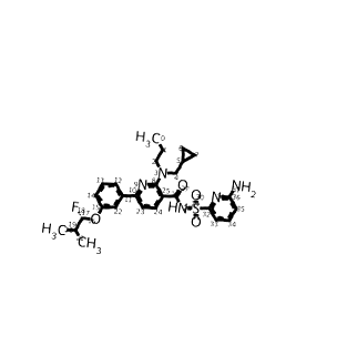 CCCN(CC1CC1)c1nc(-c2cccc(O[C@@H](F)C(C)C)c2)ccc1C(=O)NS(=O)(=O)c1cccc(N)n1